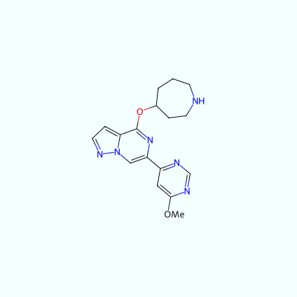 COc1cc(-c2cn3nccc3c(OC3CCCNCC3)n2)ncn1